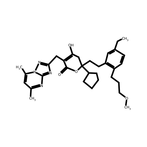 CCc1ccc(CCCOC)c(CCC2(C3CCCC3)CC(O)=C(Cc3nc4nc(C)cc(C)n4n3)C(=O)O2)c1